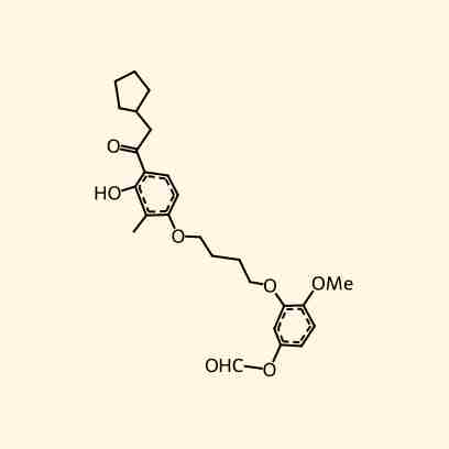 COc1ccc(OC=O)cc1OCCCCOc1ccc(C(=O)CC2CCCC2)c(O)c1C